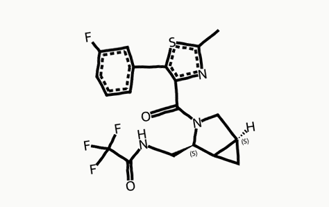 Cc1nc(C(=O)N2C[C@H]3CC3[C@H]2CNC(=O)C(F)(F)F)c(-c2cccc(F)c2)s1